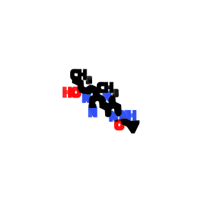 CCCC(O)c1cc(C)c(-c2cc3cnc(NC(=O)C4CC4)cc3cn2)c(C#N)n1